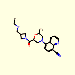 CCNCC1CN(C(=O)C2CN(c3ccc(C#N)c4ncccc34)CC(C)O2)C1